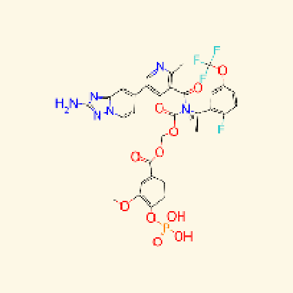 COc1cc(C(=O)OCOC(=O)N(C(=O)c2cc(-c3ccn4nc(N)nc4c3)cnc2C)[C@H](C)c2cc(OC(F)(F)F)ccc2F)ccc1OP(=O)(O)O